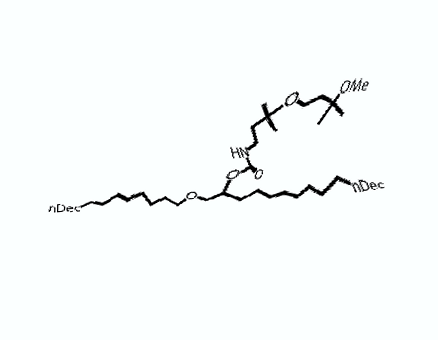 CCCCCCCCCCCCCCCCCCOCC(CCCCCCCCCCCCCCCCCC)OC(=O)NCCC(C)(C)OCCC(C)(C)OC